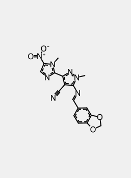 Cn1nc(-c2ncc([N+](=O)[O-])n2C)c(C#N)c1N=Cc1ccc2c(c1)OCO2